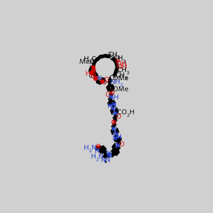 CO[C@H]1C[C@@H]2CC[C@@H](C)[C@@](O)(O2)C(=O)C(=O)N2CCCC[C@H]2C(=O)O[C@H]([C@H](N)C[C@@H]2CC[C@@H](OC(=O)NCc3cnc(N4CCN(C(=O)CCOCCN5CCN(c6ncc(C(=O)N7CCc8cc(Cn9nc(-c%10ccc%11oc(N)nc%11c%10)c%10c(N)ncnc%109)ccc8C7)cn6)CC5)[C@@H](C(=O)O)C4)nc3)[C@H](OC)C2)C[C@@H](OC)[C@H](C)/C=C(\C)[C@@H](O)[C@@H](O)C(=O)[C@H](C)C[C@H](C)/C=C/C=C/C=C/1C